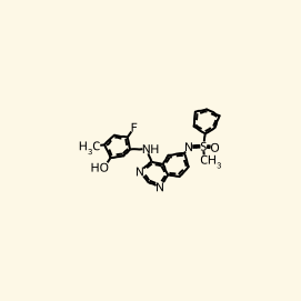 Cc1cc(F)c(Nc2ncnc3ccc(N=S(C)(=O)c4ccccc4)cc23)cc1O